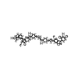 C=CCn1c(=O)c2cnc(Nc3ccc(NCCNC4CCN(C5CN(c6cc7onc(C8CCC(=O)NC8=O)c7cc6F)C5)CC4)cc3)nc2n1-c1ccc2c(n1)[C@@](O)(CC)CC2